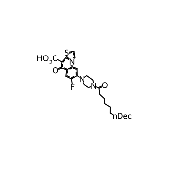 CCCCCCCCCCCCCCCC(=O)N1CCN(c2cc3c(cc2F)c(=O)c(C(=O)O)c2sccn23)CC1